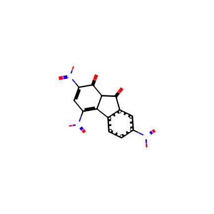 O=C1C([N+](=O)[O-])=CC([N+](=O)[O-])=C2c3ccc([N+](=O)[O-])cc3C(=O)C12